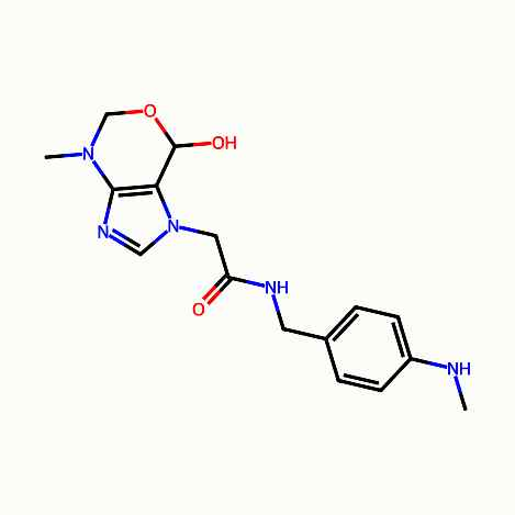 CNc1ccc(CNC(=O)Cn2cnc3c2C(O)OCN3C)cc1